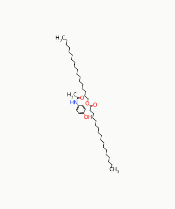 CC(=O)Nc1ccc(O)cc1.CCCCCCCCCCCCCCCCCCOC(=O)CCCCCCCCCCCCCCCCC